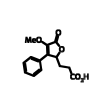 COC1=C(c2ccccc2)C(CCC(=O)O)OC1=O